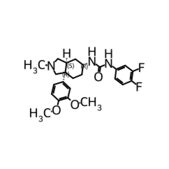 COc1ccc([C@@]23CC[C@@H](NC(=O)Nc4ccc(F)c(F)c4)C[C@@H]2CN(C)C3)cc1OC